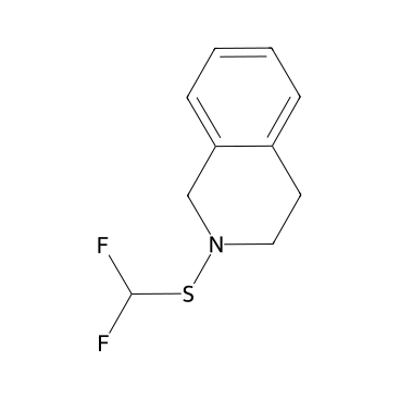 FC(F)SN1CCc2ccccc2C1